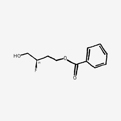 O=C(OCC[C@@H](F)CO)c1ccccc1